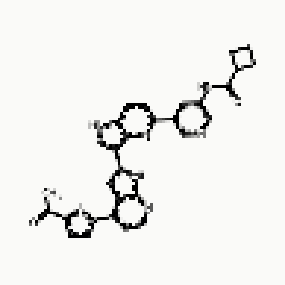 CC(=O)c1ccc(-c2ccnc3[nH]c(-c4n[nH]c5ccc(-c6cncc(NC(=O)C7CCC7)c6)nc45)cc23)s1